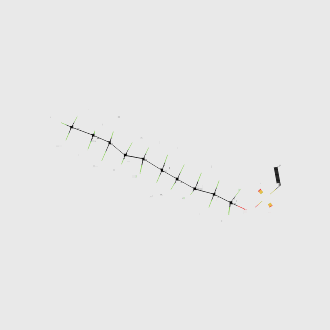 C=CS(=O)(=O)OC(F)(F)C(F)(F)C(F)(F)C(F)(F)C(F)(F)C(F)(F)C(F)(F)C(F)(F)C(F)(F)C(F)(F)F